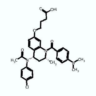 CC(=O)N(c1ccc(Cl)cc1)[C@H]1C[C@@H](C)N(C(=O)c2ccc(N(C)C)cc2)c2cc(OCCCC(=O)O)ccc21